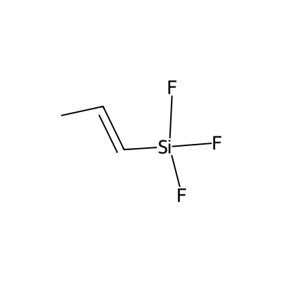 CC=C[Si](F)(F)F